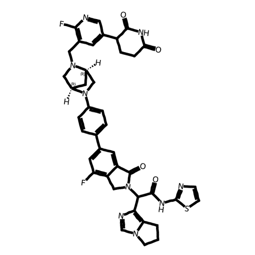 O=C1CCC(c2cnc(F)c(CN3C[C@H]4C[C@@H]3CN4c3ccc(-c4cc(F)c5c(c4)C(=O)N(C(C(=O)Nc4nccs4)c4ncn6c4CCC6)C5)cc3)c2)C(=O)N1